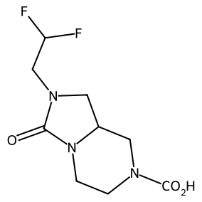 O=C(O)N1CCN2C(=O)N(CC(F)F)CC2C1